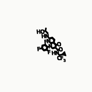 CC(O)CNc1ccc2c(=O)c(C(=O)NC(C3CC3)C(F)(F)F)cn(-c3c(F)cc(F)cc3F)c2n1